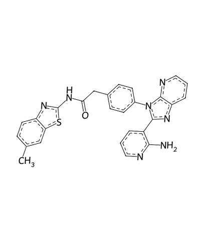 Cc1ccc2nc(NC(=O)Cc3ccc(-n4c(-c5cccnc5N)nc5cccnc54)cc3)sc2c1